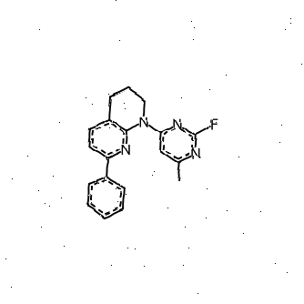 Cc1cc(N2CCCc3ccc(-c4ccccc4)nc32)nc(F)n1